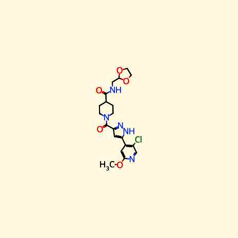 COc1cc(-c2cc(C(=O)N3CCC(C(=O)NCC4OCCO4)CC3)n[nH]2)c(Cl)cn1